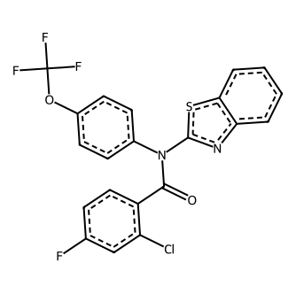 O=C(c1ccc(F)cc1Cl)N(c1ccc(OC(F)(F)F)cc1)c1nc2ccccc2s1